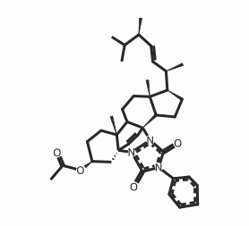 CC(=O)O[C@H]1CC[C@]2(C)C3CC[C@@]4(C)C(CC[C@@H]4[C@H](C)/C=C/[C@H](C)C(C)C)[C@@]34C=C[C@@]2(C1)n1c(=O)n(-c2ccccc2)c(=O)n14